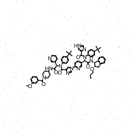 CCCO[C@H]1Cc2ccccc2[C@H]1NC(=O)C(c1ccc(-n2cnc(C(=O)N(c3ccc(C(C)(C)C)cc3)C(C(=O)NC3CCN(C(=O)c4cccc(OC)c4)CC3)c3cccnc3)c2)nc1)N(C(=O)c1c[nH]cn1)c1ccc(C(C)(C)C)cc1